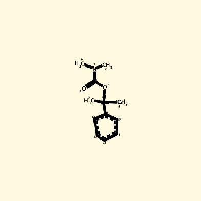 CN(C)C(=O)OC(C)(C)c1ccccc1